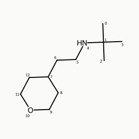 CC(C)(C)NCCC1CCOCC1